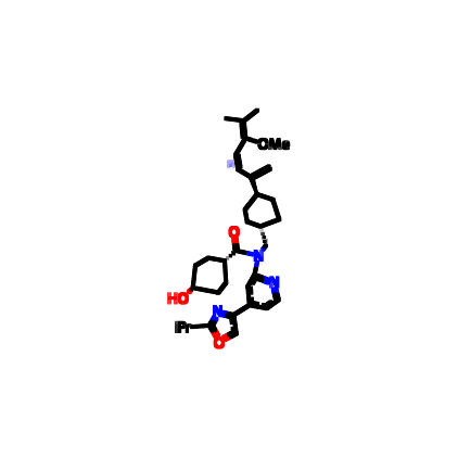 C=C(/C=C\C(OC)=C(C)C)[C@H]1CC[C@H](CN(c2cc(-c3coc(C(C)C)n3)ccn2)C(=O)[C@H]2CC[C@H](O)CC2)CC1